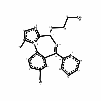 Cc1cnc2n1-c1ccc(Br)cc1C(c1ccccn1)=N[C@H]2CCCO